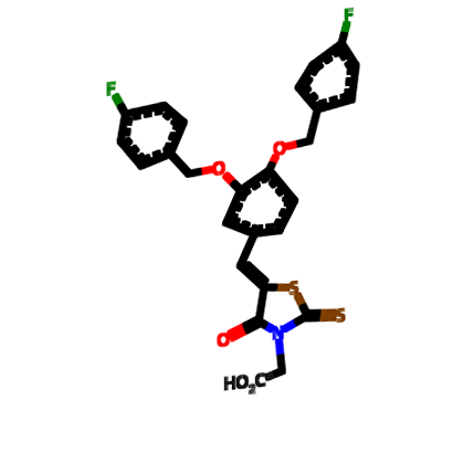 O=C(O)CN1C(=O)/C(=C/c2ccc(OCc3ccc(F)cc3)c(OCc3ccc(F)cc3)c2)SC1=S